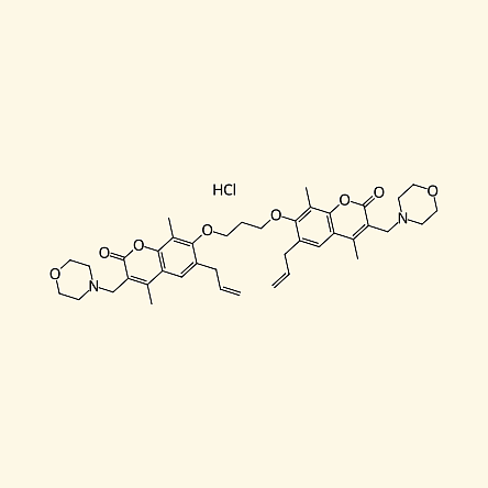 C=CCc1cc2c(C)c(CN3CCOCC3)c(=O)oc2c(C)c1OCCCOc1c(CC=C)cc2c(C)c(CN3CCOCC3)c(=O)oc2c1C.Cl